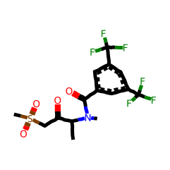 CC(C(=O)CS(C)(=O)=O)N(C)C(=O)c1cc(C(F)(F)F)cc(C(F)(F)F)c1